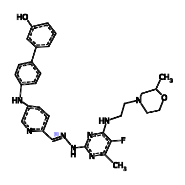 Cc1nc(N/N=C/c2ccc(Nc3ccc(-c4cccc(O)c4)cc3)cn2)nc(NCCN2CCOC(C)C2)c1F